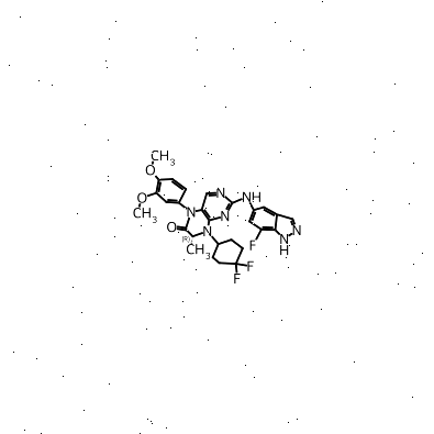 COc1ccc(N2C(=O)[C@@H](C)N(C3CCC(F)(F)CC3)c3nc(Nc4cc(F)c5[nH]ncc5c4)ncc32)cc1OC